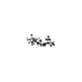 Cc1oc2[nH]c(=O)n(C)c(=O)c2c1CC(=O)Nc1nc(-c2cc(C(F)(F)F)cc(F)c2F)cs1